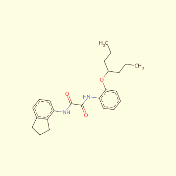 CCCC(CCC)Oc1ccccc1NC(=O)C(=O)Nc1cccc2c1CCC2